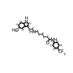 O=C(CCCCCNCCc1c[nH]c2ccc(O)cc12)Nc1ccc(C(F)(F)F)cc1